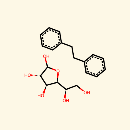 OC[C@@H](O)[C@@H]1OC(O)[C@@H](O)[C@@H]1O.c1ccc(CCc2ccccc2)cc1